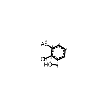 CC(=O)c1ccccc1Cl.CO